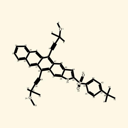 COC(C)(C)C#Cc1c2cc3ccccc3cc2c(C#CC(C)(C)OC)c2cc3sc(S(=O)(=O)c4ccc(C(C)(C)C)cc4)cc3cc12